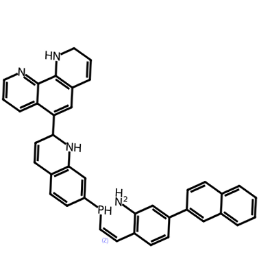 Nc1cc(-c2ccc3ccccc3c2)ccc1/C=C\Pc1ccc2c(c1)NC(c1cc3c(c4ncccc14)NCC=C3)C=C2